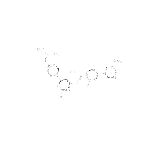 COc1cncc(-c2ccc([C@H](Oc3cc(-c4ccc(CC(N)C(=O)O)cc4)nc(N)n3)C(F)(F)F)c(F)c2)c1